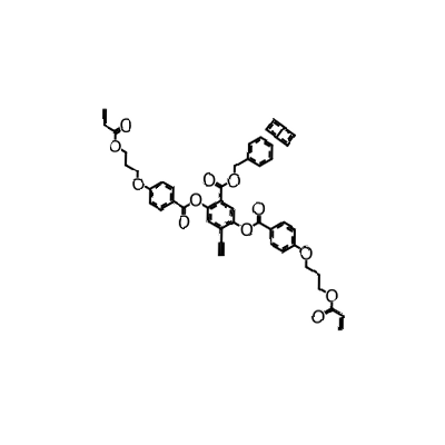 C#Cc1cc(OC(=O)c2ccc(OCCCOC(=O)C=C)cc2)c(C(=O)OCc2ccccc2)cc1OC(=O)c1ccc(OCCCOC(=O)C=C)cc1.c1cc2ccc1-2